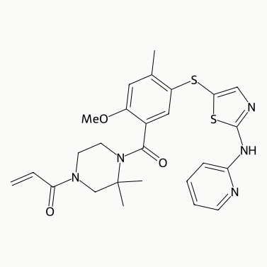 C=CC(=O)N1CCN(C(=O)c2cc(Sc3cnc(Nc4ccccn4)s3)c(C)cc2OC)C(C)(C)C1